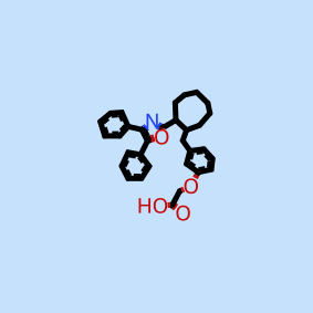 O=C(O)COc1cccc(CC2CCCCCCC2c2nc(-c3ccccc3)c(-c3ccccc3)o2)c1